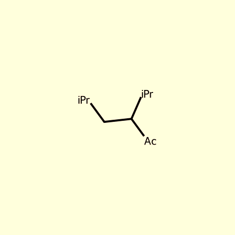 CC(=O)C(CC(C)C)C(C)C